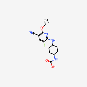 CCOc1nc(NC2CCC(NC(=O)O)CC2)c(F)cc1C#N